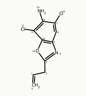 C=CCc1nc2cc(Cl)c(N)c(Cl)c2o1